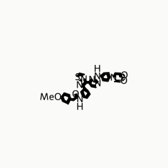 COc1ccc(CC(=O)Nc2cccc(-c3nc4sccn4c3-c3ccnc(Nc4ccc(N5CCS(=O)(=O)CC5)cc4)n3)c2)cc1